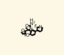 C[C@@]12CCO[C@@H]1C1(COC(N)=N1)c1cc(-c3cccnc3F)ccc1O2